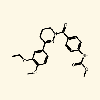 CCOc1cc(C2=NN(C(=O)c3ccc(NC(=O)OC)cc3)CCC2)ccc1OC